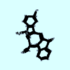 Cn1cc(/C=C2/C(=O)c3ccccc3C2=C(C#N)C#N)c2cc(I)ccc21